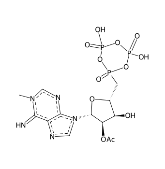 CC(=O)O[C@@H]1[C@H](O)[C@@H](CP2(=O)OP(=O)(O)OP(=O)(O)O2)O[C@H]1n1cnc2c(=N)n(C)cnc21